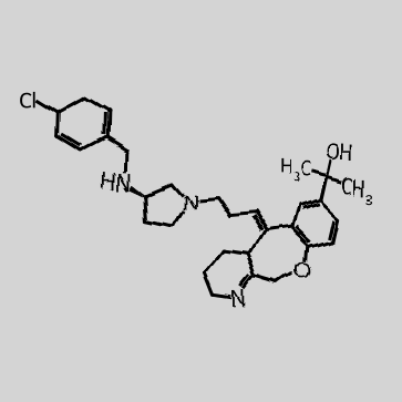 CC(C)(O)c1ccc2c(c1)/C(=C/CCN1CC[C@@H](NCC3=CCC(Cl)C=C3)C1)C1CCCN=C1CO2